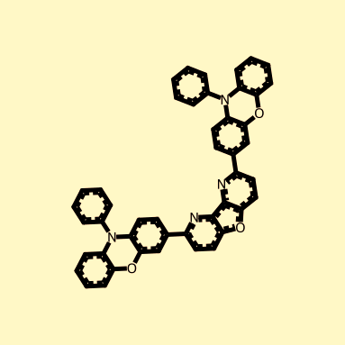 c1ccc(N2c3ccccc3Oc3cc(-c4ccc5oc6ccc(-c7ccc8c(c7)Oc7ccccc7N8c7ccccc7)nc6c5n4)ccc32)cc1